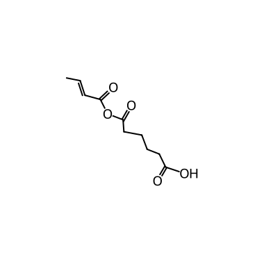 CC=CC(=O)OC(=O)CCCCC(=O)O